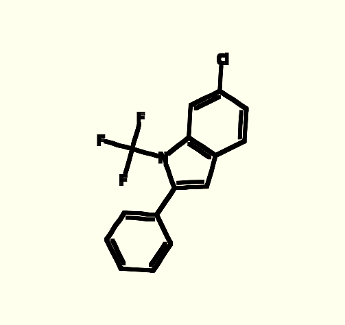 FC(F)(F)n1c(-c2ccccc2)cc2ccc(Cl)cc21